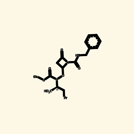 CC(C)C[C@@H](C(=O)O)N(OC1CC(=O)N1C(=O)NCc1ccccc1)C(=O)OC(C)(C)C